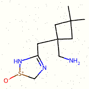 CC1(C)CC(CN)(CC2=NC[S+]([O-])N2)C1